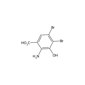 Nc1c(C(=O)O)cc(Br)c(Br)c1O